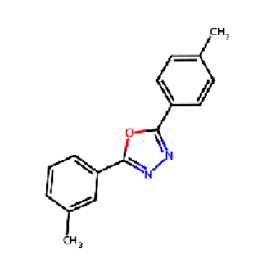 Cc1ccc(-c2nnc(-c3cccc(C)c3)o2)cc1